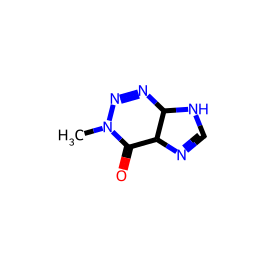 CN1N=NC2NC=NC2C1=O